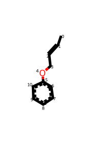 CC=CCOc1cc[c]cc1